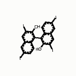 Oc1c(I)cc2cc(I)ccc2c1-c1c(O)c(I)cc2cc(I)ccc12